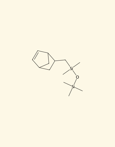 C[Si](C)(C)O[Si](C)(C)CC1CC2C=CC1C2